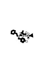 Cc1sc(N(CCC2CCCCC2)Cc2ccc(Cl)cc2)nc1C(=O)NS(=O)(=O)C1CC1